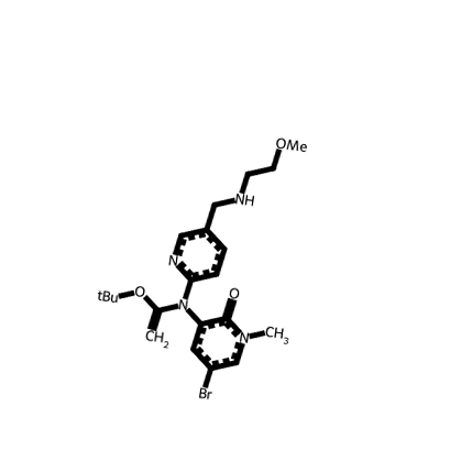 C=C(OC(C)(C)C)N(c1ccc(CNCCOC)cn1)c1cc(Br)cn(C)c1=O